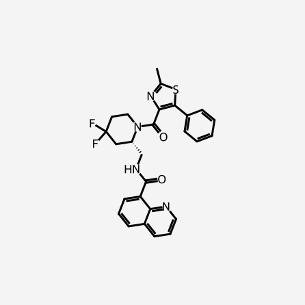 Cc1nc(C(=O)N2CCC(F)(F)C[C@H]2CNC(=O)c2cccc3cccnc23)c(-c2ccccc2)s1